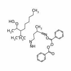 CC(C#N)CCN=N.CCCCCCC([C](C)C)C(C)OO.O=C(OOC(=O)c1ccccc1)c1ccccc1